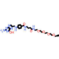 C#CCOCCOCCOCCOCCNC(=O)CCCNC(=O)c1ccc(NCc2cnc3nc(N)nc(O)c3n2)cc1